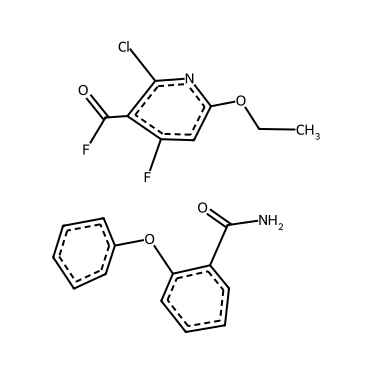 CCOc1cc(F)c(C(=O)F)c(Cl)n1.NC(=O)c1ccccc1Oc1ccccc1